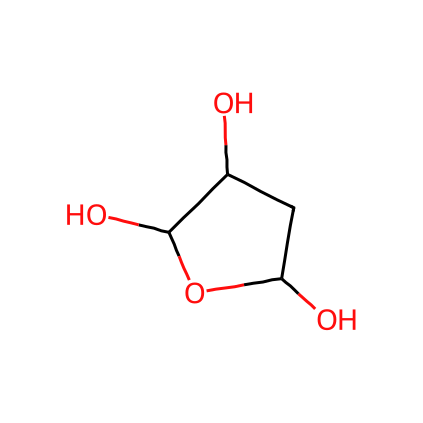 OC1CC(O)C(O)O1